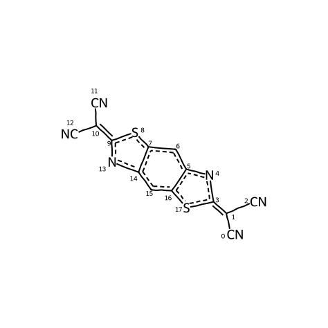 N#CC(C#N)=c1nc2cc3sc(=C(C#N)C#N)nc3cc2s1